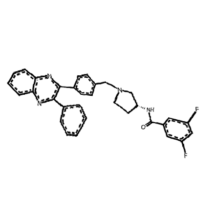 O=C(N[C@@H]1CCN(Cc2ccc(-c3nc4ccccc4nc3-c3ccccc3)cc2)C1)c1cc(F)cc(F)c1